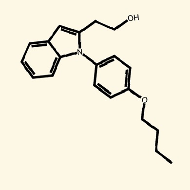 CCCCOc1ccc(-n2c(CCO)cc3ccccc32)cc1